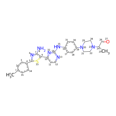 Cc1ccc(-c2nc(N)c(-c3ccnc(Nc4ccc(N5CCN(C(C)C=O)CC5)cc4)n3)s2)cc1